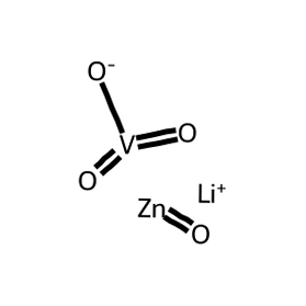 [Li+].[O]=[V](=[O])[O-].[O]=[Zn]